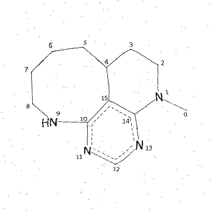 CN1CCC2CCCCNc3ncnc1c32